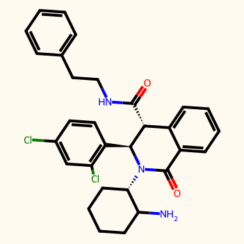 NC1CCCC[C@@H]1N1C(=O)c2ccccc2[C@@H](C(=O)NCCc2ccccc2)[C@@H]1c1ccc(Cl)cc1Cl